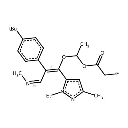 CCn1nc(C)cc1/C(OC(C)OC(=O)CF)=C(\C=N/C)c1ccc(C(C)(C)C)cc1